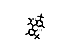 C=CC(C)C(c1cc(C)cc(C(C)(C)C)c1O)c1cc(C)cc(C(C)(C)C)c1O